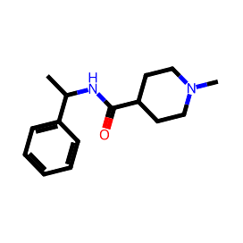 CC(NC(=O)C1CCN(C)CC1)c1ccccc1